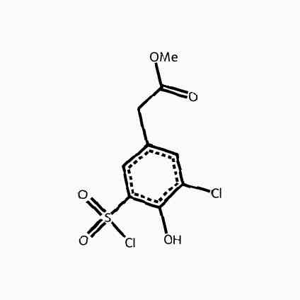 COC(=O)Cc1cc(Cl)c(O)c(S(=O)(=O)Cl)c1